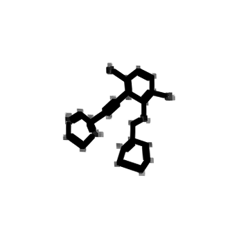 Clc1ccc(Cl)c(OCc2ccccc2)c1C#Cc1[c]nccn1